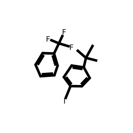 CC(C)(C)c1ccc(I)cc1.FC(F)(F)c1ccccc1